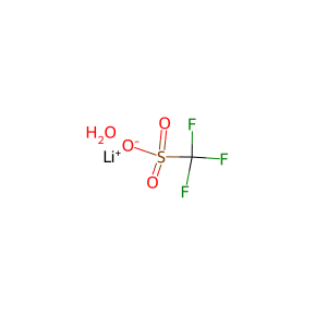 O.O=S(=O)([O-])C(F)(F)F.[Li+]